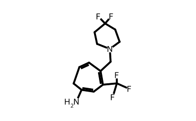 NC1=CC(C(F)(F)F)=C(CN2CCC(F)(F)CC2)C=CC1